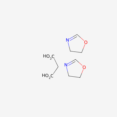 C1=NCCO1.C1=NCCO1.O=C(O)CC(=O)O